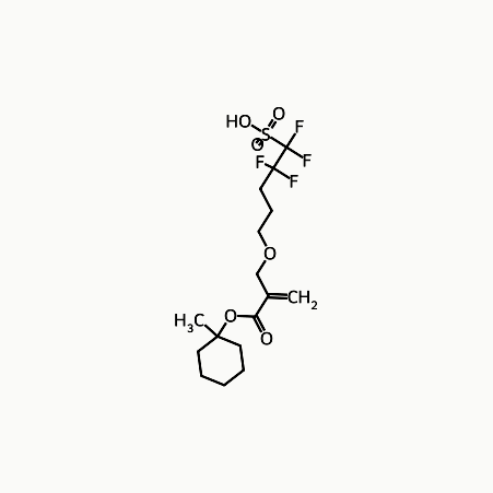 C=C(COCCCC(F)(F)C(F)(F)S(=O)(=O)O)C(=O)OC1(C)CCCCC1